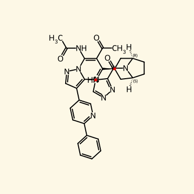 CC(=O)Nc1c(C(C)=O)c([C@H]2C[C@H]3CC[C@@H](C2)N3C(=O)c2nnc[nH]2)nc2c(-c3ccc(-c4ccccc4)nc3)cnn12